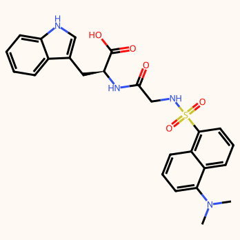 CN(C)c1cccc2c(S(=O)(=O)NCC(=O)N[C@@H](Cc3c[nH]c4ccccc34)C(=O)O)cccc12